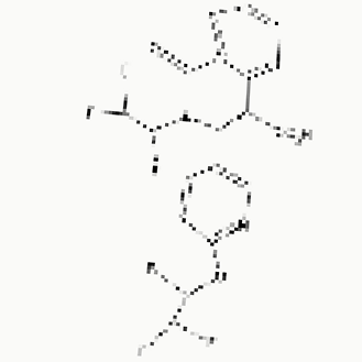 O=C(O)C1c2ccccc2C(=O)N(C(F)C(F)F)C1c1ccc(OC(F)C(F)F)nc1